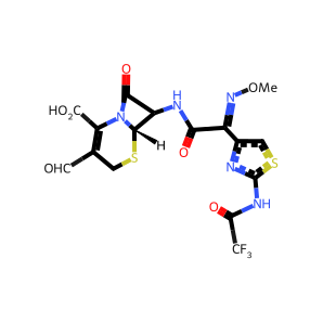 CON=C(C(=O)NC1C(=O)N2C(C(=O)O)=C(C=O)CS[C@@H]12)c1csc(NC(=O)C(F)(F)F)n1